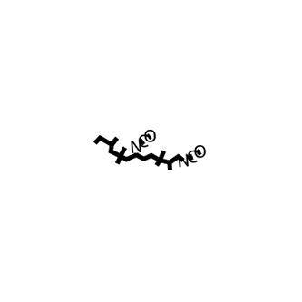 CCC(C)CC(C)(C)CC(CCC(C)(C)C(C)CN=C=O)N=C=O